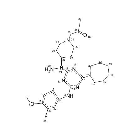 COc1ccc(Nc2nc(C3CCCCCC3)nc(N(N)C3CCN(CC(C)=O)CC3)n2)cc1F